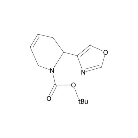 CC(C)(C)OC(=O)N1CC=CCC1c1cocn1